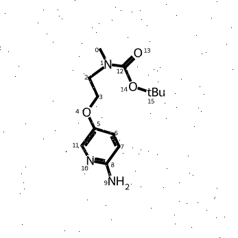 CN(CCOc1ccc(N)nc1)C(=O)OC(C)(C)C